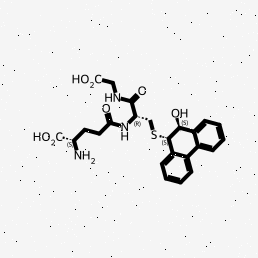 N[C@@H](CCC(=O)N[C@@H](CS[C@H]1c2ccccc2-c2ccccc2[C@@H]1O)C(=O)NCC(=O)O)C(=O)O